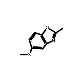 CSc1ccc2oc(C)nc2c1